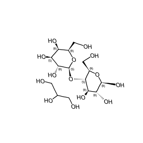 OCC(O)CO.OC[C@H]1O[C@@H](O[C@H]2[C@H](O)[C@@H](O)[C@H](O)O[C@@H]2CO)[C@H](O)[C@@H](O)[C@H]1O